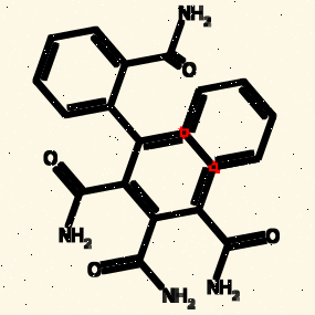 NC(=O)c1ccccc1-c1c(C(N)=O)c(C(N)=O)c(C(N)=O)c2c3ccc(cc3)c12